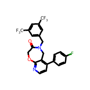 O=C1COc2nccc(-c3ccc(F)cc3)c2CN1Cc1cc(C(F)(F)F)cc(C(F)(F)F)c1